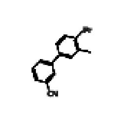 Cc1cc(-c2cccc(C#N)c2)ccc1C(C)C